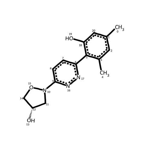 Cc1cc(C)c(-c2ccc(N3C[C@H](O)CO3)nn2)c(O)c1